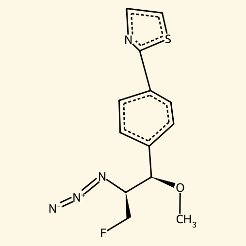 CO[C@H](c1ccc(-c2nccs2)cc1)[C@@H](CF)N=[N+]=[N-]